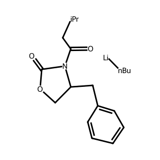 CC(C)CC(=O)N1C(=O)OCC1Cc1ccccc1.[Li][CH2]CCC